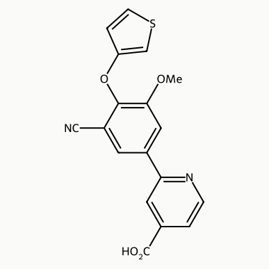 COc1cc(-c2cc(C(=O)O)ccn2)cc(C#N)c1Oc1ccsc1